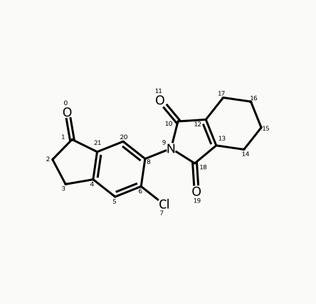 O=C1CCc2cc(Cl)c(N3C(=O)C4=C(CCCC4)C3=O)cc21